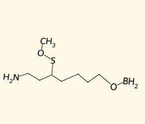 BOCCCCC(CCN)SOC